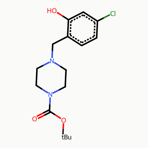 CC(C)(C)OC(=O)N1CCN(Cc2ccc(Cl)cc2O)CC1